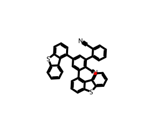 N#Cc1ccccc1-c1cc(-c2cccc3sc4ccccc4c23)cc(-c2cccc3sc4ccccc4c23)c1C#N